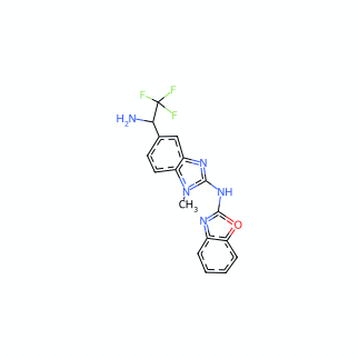 Cn1c(Nc2nc3ccccc3o2)nc2cc(C(N)C(F)(F)F)ccc21